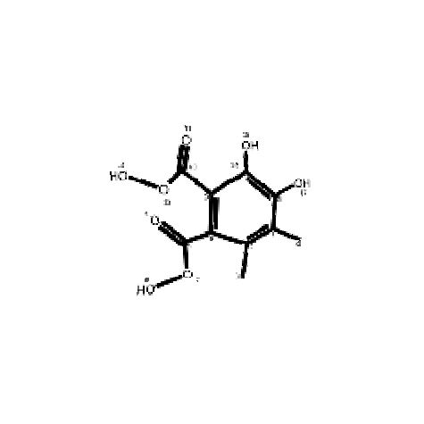 Cc1c(C)c(C(=O)OO)c(C(=O)OO)c(O)c1O